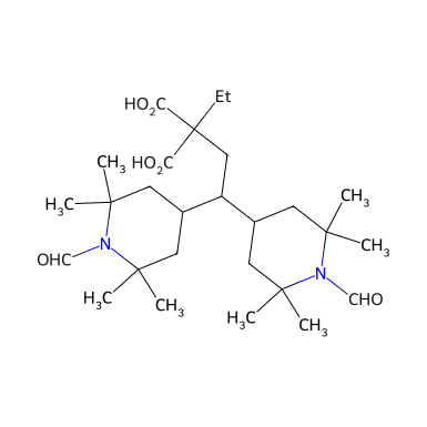 CCC(CC(C1CC(C)(C)N(C=O)C(C)(C)C1)C1CC(C)(C)N(C=O)C(C)(C)C1)(C(=O)O)C(=O)O